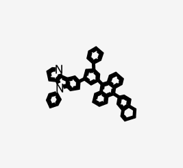 C1=Cc2cc(-c3c4ccccc4c(-c4cc(-c5ccccc5)cc(-c5ccc6c(c5)c5ncccc5n6-c5ccccc5)c4)c4ccccc34)ccc2CC1